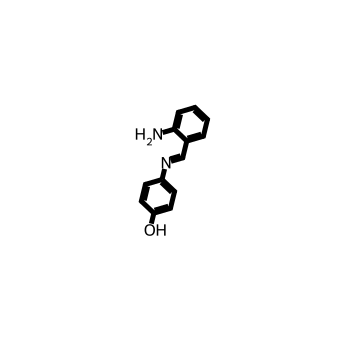 Nc1ccccc1/C=N/c1ccc(O)cc1